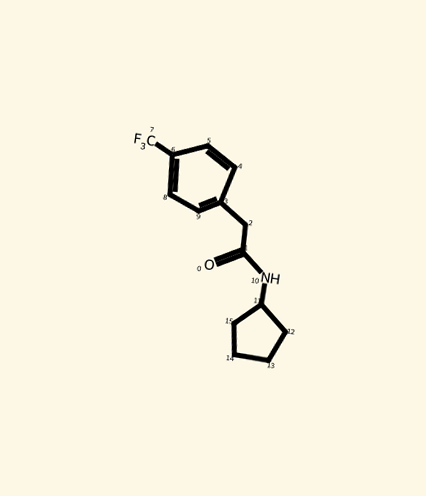 O=C(Cc1ccc(C(F)(F)F)cc1)NC1CCCC1